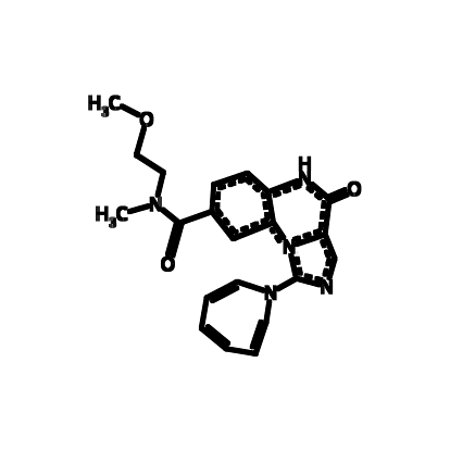 COCCN(C)C(=O)c1ccc2[nH]c(=O)c3cnc(N4C=CC=CC=C4)n3c2c1